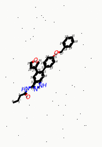 CCCC(=O)Nc1n[nH]c2cc(-c3ccc(OCc4ccccc4)cc3)c(-c3ccoc3)cc12